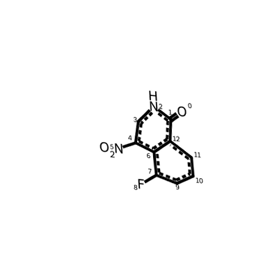 O=c1[nH]cc([N+](=O)[O-])c2c(F)cccc12